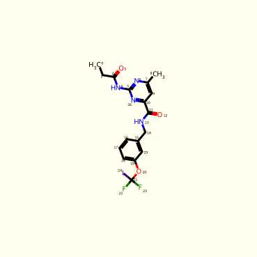 CCC(=O)Nc1nc(C)cc(C(=O)NCc2cccc(OC(F)(F)I)c2)n1